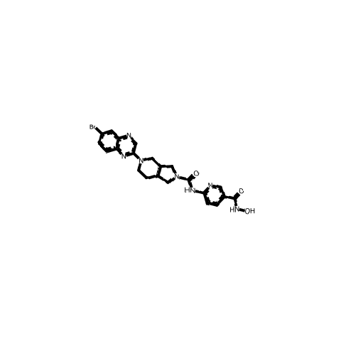 O=C(NO)c1ccc(NC(=O)N2CC3CCN(c4cnc5cc(Br)ccc5n4)CC3C2)nc1